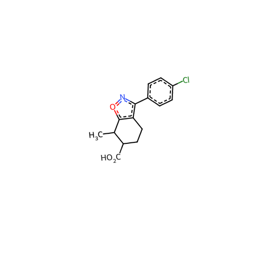 CC1c2onc(-c3ccc(Cl)cc3)c2CCC1C(=O)O